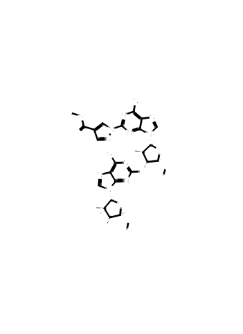 CNC(=O)c1cnn(-c2nc(N)c3ncn([C@@H]4O[C@H](CO)[C@@H](Oc5nc(N)c6ncn([C@@H]7O[C@H](CO)[C@@H](O)[C@H]7O)c6n5)[C@H]4O)c3n2)c1